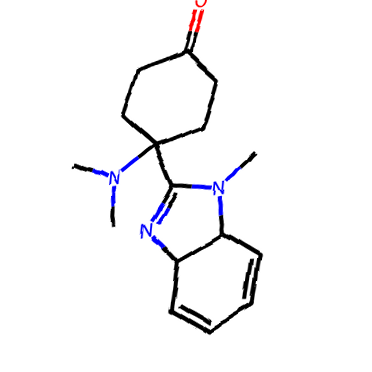 CN1C(C2(N(C)C)CCC(=O)CC2)=NC2C=CC=CC21